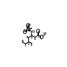 CCC(C)CC(CC(=O)OC)C[N+](=O)[O-]